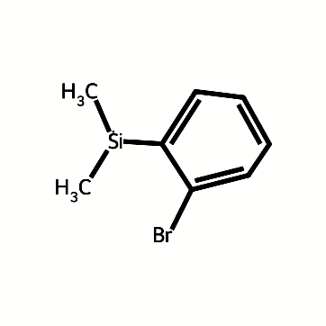 C[Si](C)c1ccccc1Br